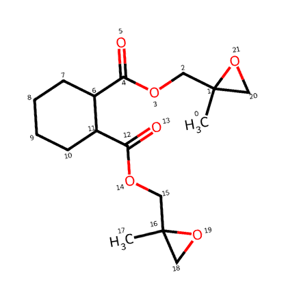 CC1(COC(=O)C2CCCCC2C(=O)OCC2(C)CO2)CO1